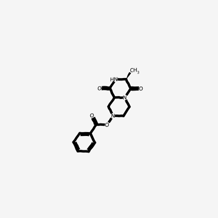 C[C@@H]1NC(=O)C2CN(OC(=O)c3ccccc3)CCN2C1=O